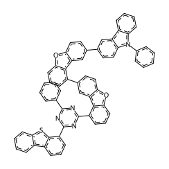 c1ccc(-c2nc(-c3cccc4c3sc3ccccc34)nc(-c3cccc4oc5ccc(-c6cccc7oc8ccc(-c9ccc%10c(c9)c9ccccc9n%10-c9ccccc9)cc8c67)cc5c34)n2)cc1